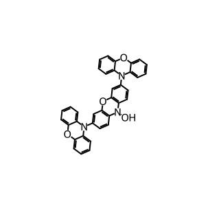 ON1c2ccc(N3c4ccccc4Oc4ccccc43)cc2Oc2cc(N3c4ccccc4Oc4ccccc43)ccc21